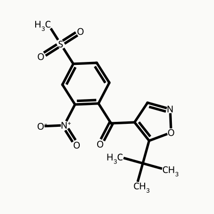 CC(C)(C)c1oncc1C(=O)c1ccc(S(C)(=O)=O)cc1[N+](=O)[O-]